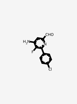 Nc1cc(C=O)nc(-c2ccc(Cl)cc2)c1F